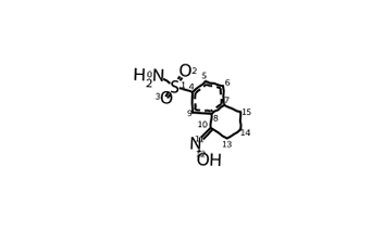 NS(=O)(=O)c1ccc2c(c1)C(=NO)CCC2